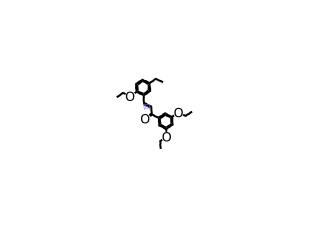 CCOc1cc(OCC)cc(C(=O)/C=C/c2cc(CC)ccc2OCC)c1